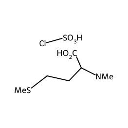 CNC(CCSC)C(=O)O.O=S(=O)(O)Cl